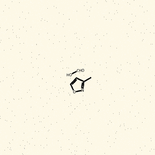 Cc1ccon1.O=CO